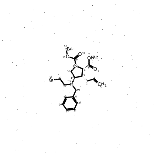 C=CC[C@H]1[C@@H](C(=O)OC)N(C(=O)OC(C)(C)C)C[C@@H]1N(CCBr)Cc1ccccc1